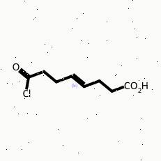 O=C(O)CC/C=C/CCC(=O)Cl